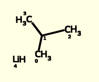 CC(C)C.[LiH]